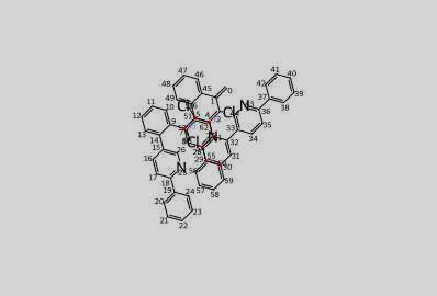 C=C(/C(Cl)=C(\C(Cl)=C(/Cl)c1ccccc1-c1ccc(-c2ccccc2)nc1)c1ccccc1-c1ccc(-c2ccccc2)nc1)c1ccccc1-c1ccc(-c2ccccc2)nc1